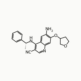 C[C@@H](Nc1c(C#N)cnc2cc(OC3CCOC3)c(N)cc12)c1ccccc1